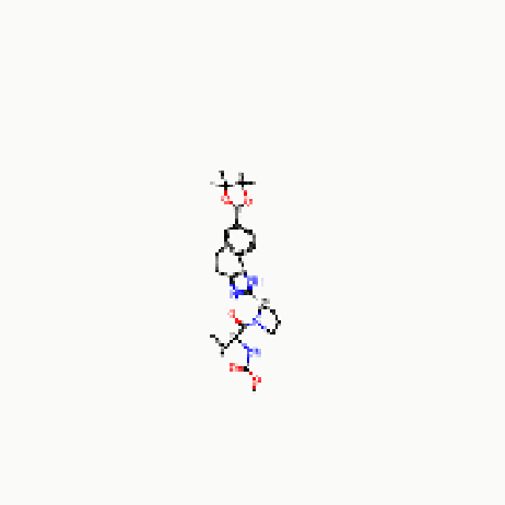 COC(=O)N[C@H](C(=O)N1CCC[C@H]1c1nc2c([nH]1)-c1ccc(B3OC(C)(C)C(C)(C)O3)cc1CC2)C(C)C